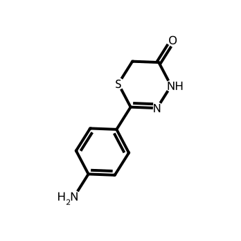 Nc1ccc(C2=NNC(=O)CS2)cc1